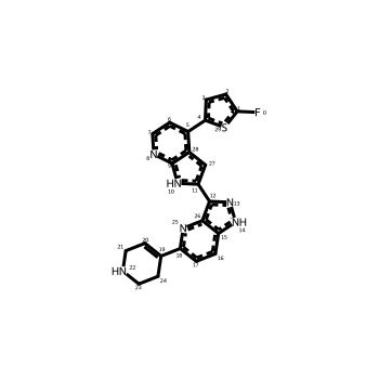 Fc1ccc(-c2ccnc3[nH]c(-c4n[nH]c5ccc(C6=CCNCC6)nc45)cc23)s1